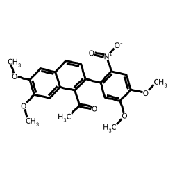 COc1cc(-c2ccc3cc(OC)c(OC)cc3c2C(C)=O)c([N+](=O)[O-])cc1OC